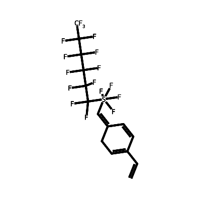 C=CC1=CCC(=CS(F)(F)(F)(F)C(F)(F)C(F)(F)C(F)(F)C(F)(F)C(F)(F)C(F)(F)F)C=C1